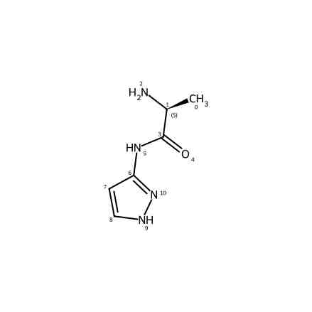 C[C@H](N)C(=O)Nc1cc[nH]n1